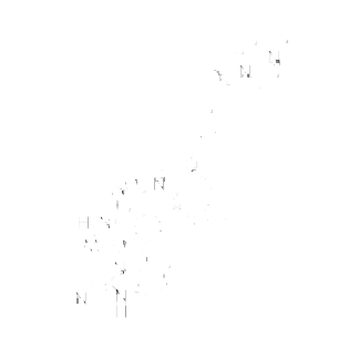 COc1c(-c2cccc3[nH]c(CN(C)C)nc23)ccc(C(=O)N(C)c2ccc(C)cc2OCCCCCC(=O)N2CCN(C)CC2)c1C(N)=O